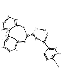 CCOC(=NC(=O)c1ccc(Cl)nc1)N1Cc2ccccc2-c2ccccc2C1